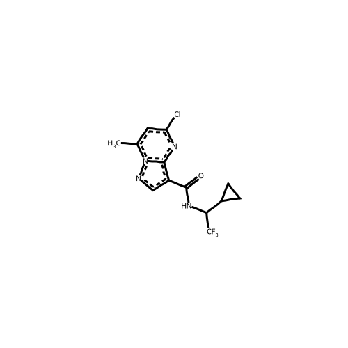 Cc1cc(Cl)nc2c(C(=O)NC(C3CC3)C(F)(F)F)cnn12